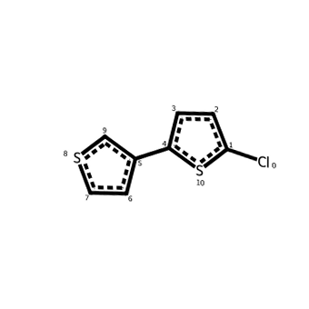 Clc1ccc(-c2ccsc2)s1